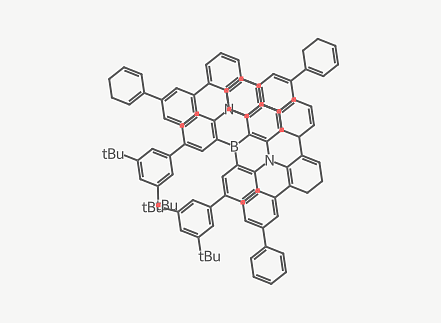 CC(C)(C)c1cc(-c2ccc3c(c2)B2c4cc(-c5cc(C(C)(C)C)cc(C(C)(C)C)c5)ccc4N(c4c(C5=CCCC(C6=CC=CCC6)=C5)cccc4-c4cccc(C5=CCCC=C5)c4)c4cccc(c42)N3C2=C(c3cccc(-c4ccccc4)c3)CCC=C2C2C=CC=C(C3=CC=CCC3)C2)cc(C(C)(C)C)c1